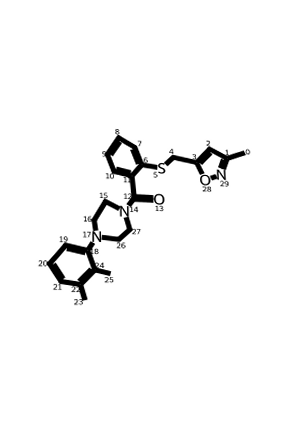 Cc1cc(CSc2ccccc2C(=O)N2CCN(c3cccc(C)c3C)CC2)on1